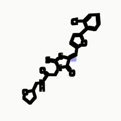 O=C(CN1C(=O)/C(=C/c2ccc(-c3ccccc3Cl)o2)SC1=S)NCC1CCCO1